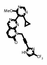 COc1ncnc(C2CC2)c1-c1ncc2ccc(=O)n(CC#Cc3nc(C(F)(F)F)c[nH]3)c2n1